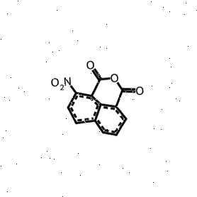 O=C1OC(=O)c2c([N+](=O)[O-])ccc3cccc1c23